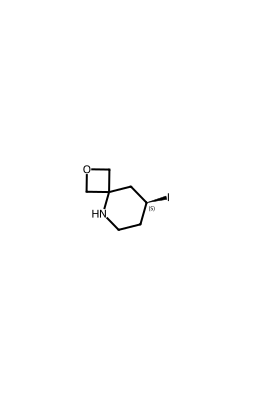 I[C@H]1CCNC2(COC2)C1